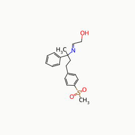 CC(CCc1ccc(S(C)(=O)=O)cc1)(N=CCO)c1ccccc1